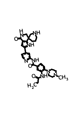 C=CC(=O)Nc1cc(C(=O)Nc2cc(-c3cc4c([nH]3)C3(CCCNC3)CNC4=O)ccn2)ccc1N1CCN(C)CC1